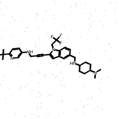 CN(C)C1CCC(NCc2ccc3c(c2)cc(C#CCNc2ccc(C(C)(C)C#N)nc2)n3CC(F)(F)F)CC1